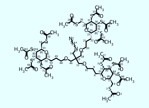 CC(=O)SC[C@H]1O[C@@H](CCCOCC(CN=[N+]=[N-])(COCCC[C@@H]2O[C@H](CSC(C)=O)[C@@H](SC(C)=O)[C@@H](SC(C)=O)[C@@H]2SC(C)=O)COCCC[C@@H]2O[C@H](CSC(C)=O)[C@@H](SC(C)=O)[C@@H](SC(C)=O)[C@@H]2SC(C)=O)[C@@H](SC(C)=O)[C@H](SC(C)=O)[C@@H]1SC(C)=O